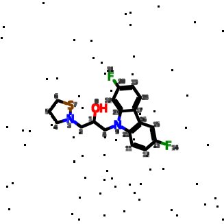 OC(CN1CCCS1)Cn1c2ccc(F)cc2c2ccc(F)cc21